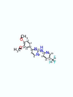 COc1ccc(-c2ccnc(Nc3ccc(C(F)(F)F)cn3)n2)cc1OC